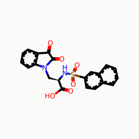 O=C1C(=O)N(C[C@@H](NS(=O)(=O)c2ccc3ccccc3c2)C(=O)O)c2ccccc21